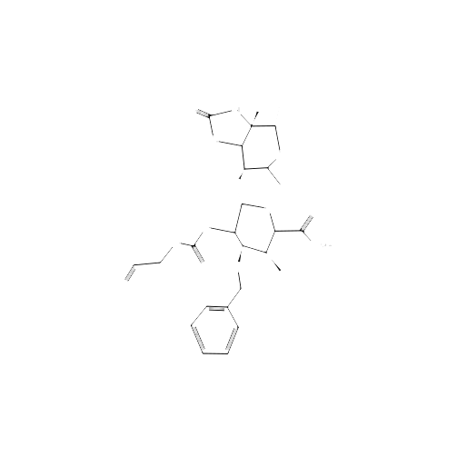 C=CCOC(=O)OC1[C@H](O[C@@H]2C(CC)O[C@@H](C)[C@H]3NC(=O)OC23)OC(C(=O)OC)[C@@H](C)[C@H]1OCc1ccccc1